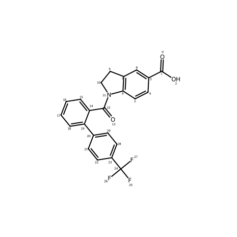 O=C(O)c1ccc2c(c1)CCN2C(=O)c1ccccc1-c1ccc(C(F)(F)F)cc1